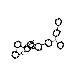 CC1(C)C2=C(c3ccc(-c4ccc(N(c5ccccc5)c5ccc(-c6ccccc6)cc5)cc4)cc31)C1c3ccccc3C3c4ccccc4-c4ccccc4CC13C=C2